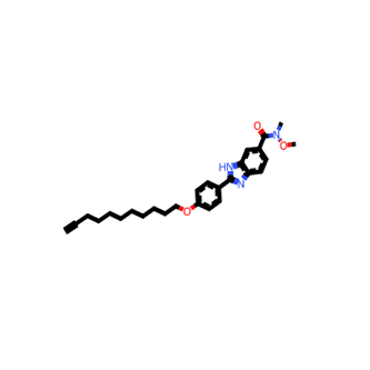 C#CCCCCCCCCCOc1ccc(-c2nc3ccc(C(=O)N(C)OC)cc3[nH]2)cc1